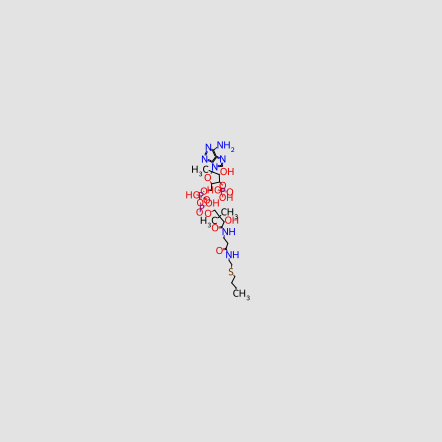 CCCCSCCNC(=O)CCNC(=O)C(O)C(C)(C)COP(=O)(O)OP(=O)(O)OCC1OC(C)(n2cnc3c(N)ncnc32)C(O)C1OP(=O)(O)O